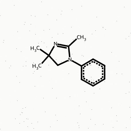 CC1=NC(C)(C)CN1c1ccccc1